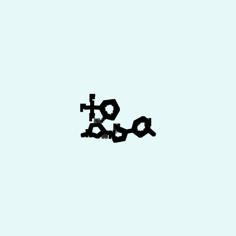 Cc1cc(-c2ccn([C@H]3CN(C)C[C@@H]3c3ccccc3C(F)(F)F)n2)ccn1